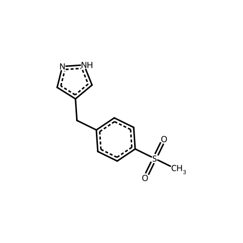 CS(=O)(=O)c1ccc(Cc2cn[nH]c2)cc1